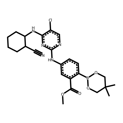 COC(=O)c1cc(Nc2ncc(Cl)c(NC3CCCCC3C#N)n2)ccc1B1OCC(C)(C)CO1